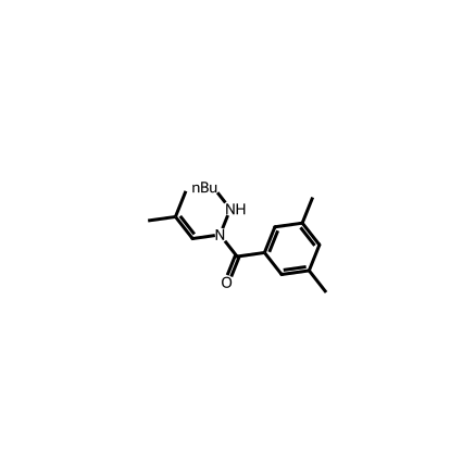 CCCCNN(C=C(C)C)C(=O)c1cc(C)cc(C)c1